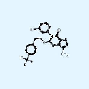 Cn1cnc2c(=O)n(-c3cccc(Cl)c3)c(SCCc3ccc(C(F)(F)F)cc3)nc21